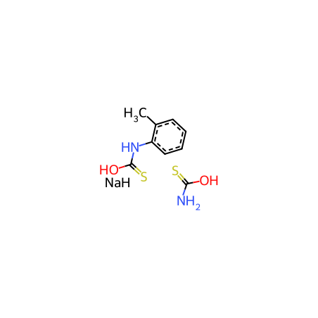 Cc1ccccc1NC(O)=S.NC(O)=S.[NaH]